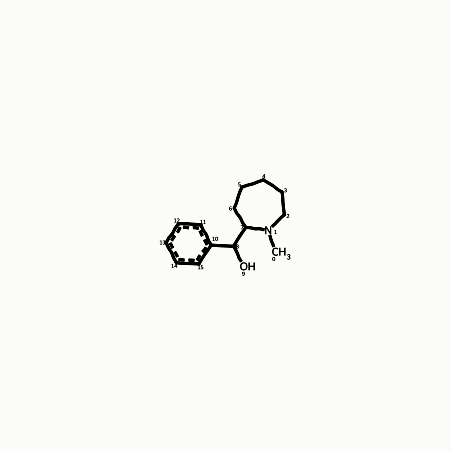 CN1CCCCCC1C(O)c1ccccc1